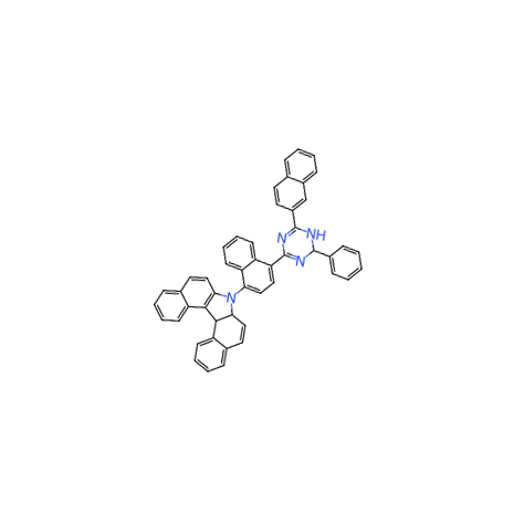 C1=CC2C(c3ccccc31)c1c(ccc3ccccc13)N2c1ccc(C2=NC(c3ccccc3)NC(c3ccc4ccccc4c3)=N2)c2ccccc12